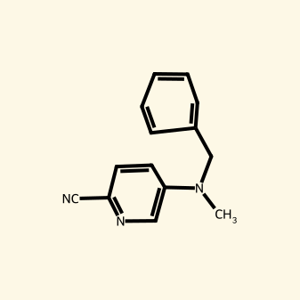 CN(Cc1ccccc1)c1ccc(C#N)nc1